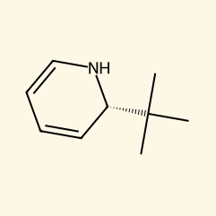 CC(C)(C)[C@@H]1C=CC=CN1